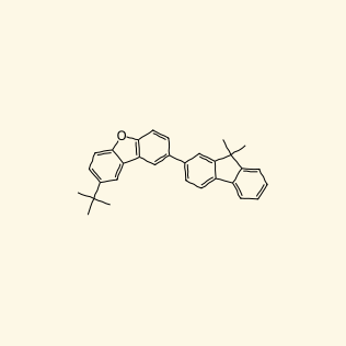 CC(C)(C)c1ccc2oc3ccc(-c4ccc5c(c4)C(C)(C)c4ccccc4-5)cc3c2c1